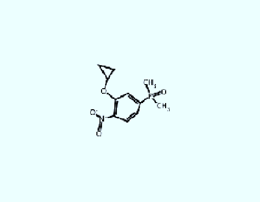 CP(C)(=O)c1ccc([N+](=O)[O-])c(OC2CC2)c1